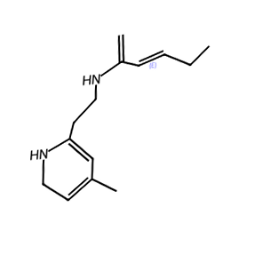 C=C(/C=C/CC)NCCC1=CC(C)=CCN1